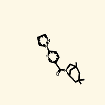 CC1(C)CC2CC(C)(CN2C(=O)c2ccc(-n3cccn3)nc2)C1